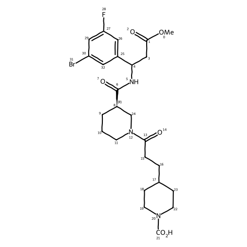 COC(=O)CC(NC(=O)[C@@H]1CCCN(C(=O)CCC2CCN(C(=O)O)CC2)C1)c1cc(F)cc(Br)c1